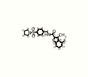 Cc1c(C(=O)NCc2ccc(S(=O)(=O)N3CCCC3)cc2)sc2cccc(F)c12